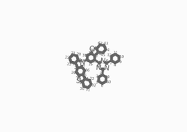 c1ccc(-c2nc(-c3ccccc3)nc(-c3cc(-n4c5ccccc5c5cc6sc7ccccc7c6cc54)cc4oc5ccccc5c34)n2)cc1